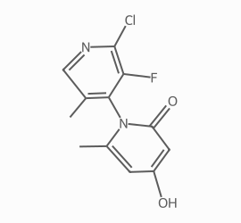 Cc1cnc(Cl)c(F)c1-n1c(C)cc(O)cc1=O